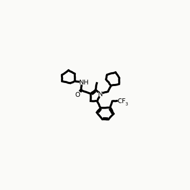 CC1=C(C(=O)NC2CCCCC2)CC(c2ccccc2CC(F)(F)F)N1CC1CCCCC1